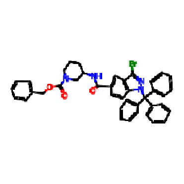 O=C(NC1CCCN(C(=O)OCc2ccccc2)C1)c1ccc2c(c1)c(Br)nn2C(c1ccccc1)(c1ccccc1)c1ccccc1